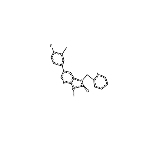 Cc1cc(-c2cnc3c(c2)n(Cc2ccccn2)c(=O)n3C)ccc1F